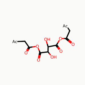 CC(=O)CC(=O)OC(=O)C(O)C(O)C(=O)OC(=O)CC(C)=O